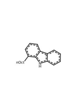 CCCCCCCCc1cccc2c1[nH]c1ccccc12